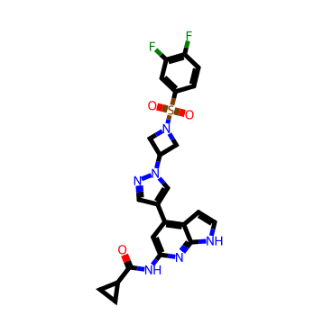 O=C(Nc1cc(-c2cnn(C3CN(S(=O)(=O)c4ccc(F)c(F)c4)C3)c2)c2cc[nH]c2n1)C1CC1